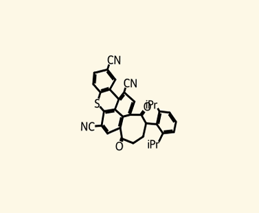 CC(C)c1cccc(C(C)C)c1C1CCC(=O)c2cc(C#N)c3c4c(c(C#N)cc(c24)C1=O)-c1cc(C#N)ccc1S3